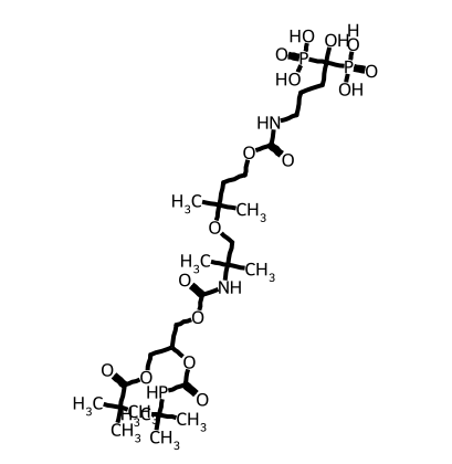 CC(C)(COC(C)(C)CCOC(=O)NCCCC(O)(P(=O)(O)O)P(=O)(O)O)NC(=O)OCC(COC(=O)C(C)(C)C)OC(=O)PC(C)(C)C